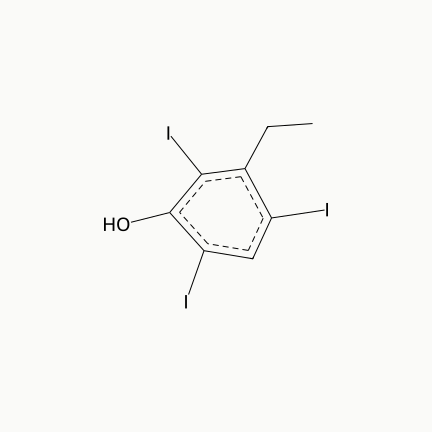 CCc1c(I)cc(I)c(O)c1I